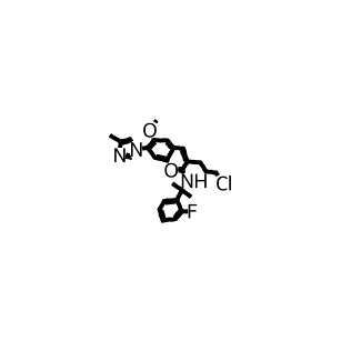 COc1cc(C=C(CCCCl)C(=O)NC(C)(C)c2ccccc2F)ccc1-n1cnc(C)c1